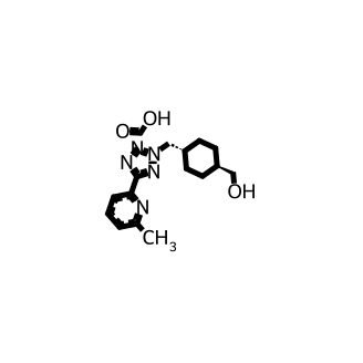 Cc1cccc(-c2nnn(C[C@H]3CC[C@H](CO)CC3)n2)n1.O=CO